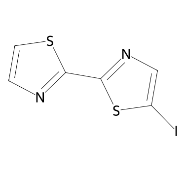 Ic1cnc(-c2nccs2)s1